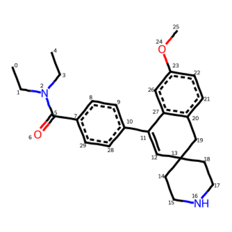 CCN(CC)C(=O)c1ccc(C2=CC3(CCNCC3)Cc3ccc(OC)cc32)cc1